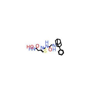 O=C(Cc1csc(NC(=O)CNC23CC4CC(C2)CC(c2ccccc2)(C4)C3)n1)NO